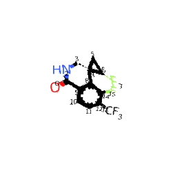 O=C1NC[C@@]2(C[C@@H]2F)c2c1ccc(C(F)(F)F)c2F